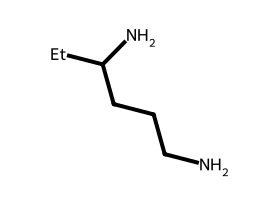 CCC(N)CCCN